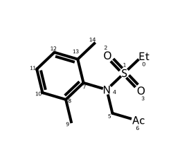 CCS(=O)(=O)N(CC(C)=O)c1c(C)cccc1C